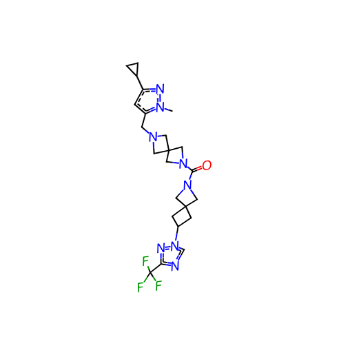 Cn1nc(C2CC2)cc1CN1CC2(C1)CN(C(=O)N1CC3(CC(n4cnc(C(F)(F)F)n4)C3)C1)C2